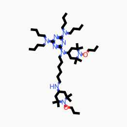 CCCCN(CCCC)c1nc(N(CCCC)CCCC)nc(N(CCCCCCNC2CC(C)(C)N(OCCC)C(C)(C)C2)C2CC(C)(C)N(OCCC)C(C)(C)C2)n1